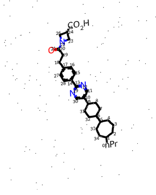 CCCC1CCCC(C2CCC(c3cnc(-c4ccc(CCC(=O)N5CC(C(=O)O)C5)cc4)nc3)CC2)CC1